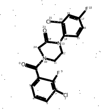 O=C(c1cccc(Cl)c1F)N1CCN(c2ccc(F)cc2Cl)C(=O)C1